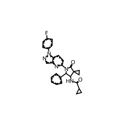 O=C(NC1C(c2ccccc2)N(c2ccc3c(cnn3-c3ccc(F)cc3)n2)C(=O)C12CC2)C1CC1